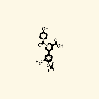 Cc1cc(C2CC(C(=O)O)CN(C(=O)N3CCC(O)CC3)C2)ccc1OC(F)(F)F